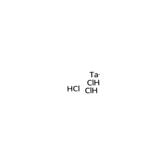 Cl.Cl.Cl.[Ta]